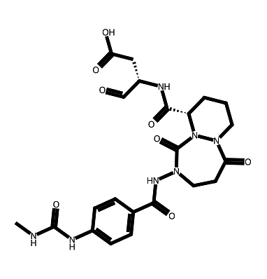 CNC(=O)Nc1ccc(C(=O)NN2CCC(=O)N3CCC[C@@H](C(=O)N[C@H](C=O)CC(=O)O)N3C2=O)cc1